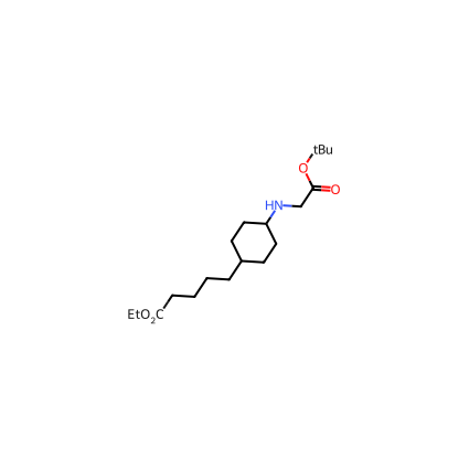 CCOC(=O)CCCCC1CCC(NCC(=O)OC(C)(C)C)CC1